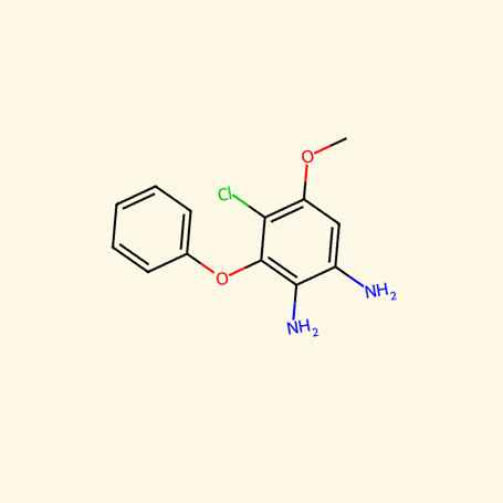 COc1cc(N)c(N)c(Oc2ccccc2)c1Cl